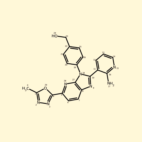 Cc1nnc(-c2ccc3nc(-c4cccnc4N)n(-c4ccc(CO)cc4)c3n2)o1